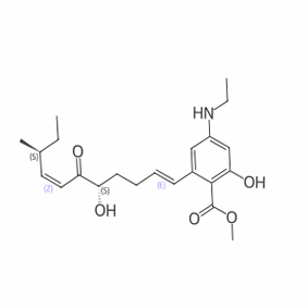 CCNc1cc(O)c(C(=O)OC)c(/C=C/CC[C@H](O)C(=O)/C=C\[C@@H](C)CC)c1